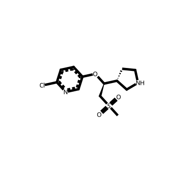 CS(=O)(=O)C[C@@H](Oc1ccc(Cl)nc1)[C@@H]1CCNC1